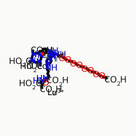 CCCCCCCCCCC(NCCCC[C@H](NC(=O)N[C@@H](CCC(=O)O)C(=O)O)C(=O)O)N1CCN(c2nc(NCCOCCOCCOCCOCCOCCOCCOCCOCCC(=O)O)nc(Nc3ccc(CC4CN(CC(=O)O)CCN(CC(=O)O)CCN(CC(=O)O)CCN4CC(=O)O)cc3)n2)CC1.[Lu+3]